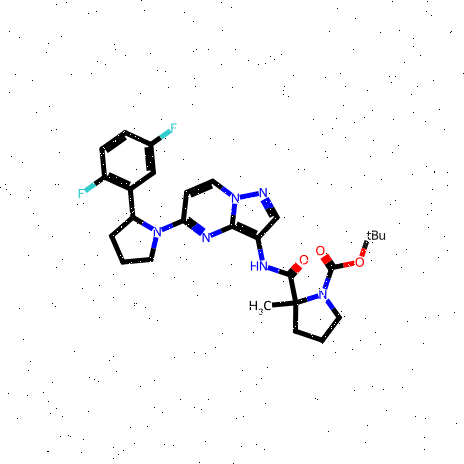 CC(C)(C)OC(=O)N1CCCC1(C)C(=O)Nc1cnn2ccc(N3CCCC3c3cc(F)ccc3F)nc12